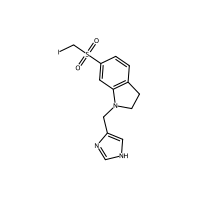 O=S(=O)(CI)c1ccc2c(c1)N(Cc1c[nH]cn1)CC2